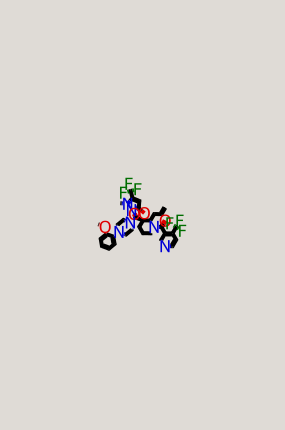 C=CCC1N(C(=O)c2cnccc2C(F)(F)F)CCCC1(Oc1cc(C(F)(F)F)n(C)n1)C(=O)N1CCN(c2ccccc2OC)CC1